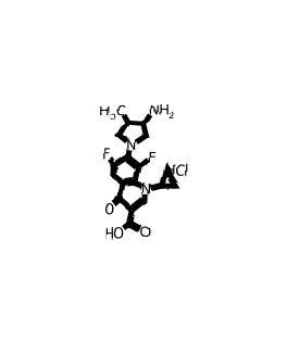 CC1CN(c2c(F)cc3c(=O)c(C(=O)O)cn(C4CC4)c3c2F)CC1N.Cl